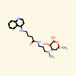 C[C@@H]1C[C@H](N(C)CCCNC(=O)CCCNc2ccnc3ccccc23)[C@@H](O)[C@H](O)O1